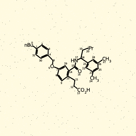 CCCCc1ccc(COc2ccc(CCC(=O)O)c(C(=O)NC(CC(C)C)c3cc(C)cc(C)c3)c2)cc1